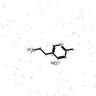 Cc1ccc(CCN)cn1.Cl